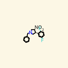 O=[N+]([O-])[C@H]1CN(Cc2ccccc2)C[C@@H]1c1cc(F)ccc1F